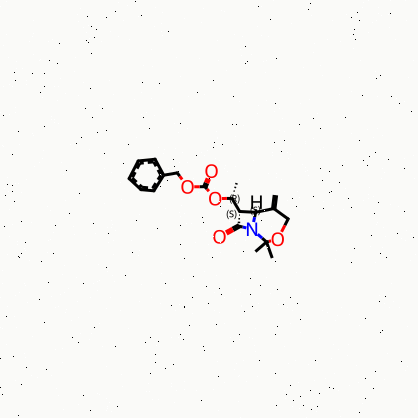 C=C1COC(C)(C)N2C(=O)[C@H]([C@@H](C)OC(=O)OCc3ccccc3)[C@@H]12